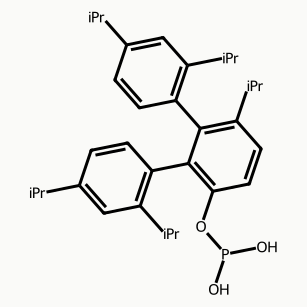 CC(C)c1ccc(-c2c(OP(O)O)ccc(C(C)C)c2-c2ccc(C(C)C)cc2C(C)C)c(C(C)C)c1